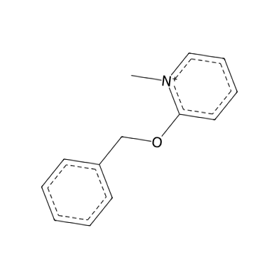 C[n+]1ccccc1OCc1ccccc1